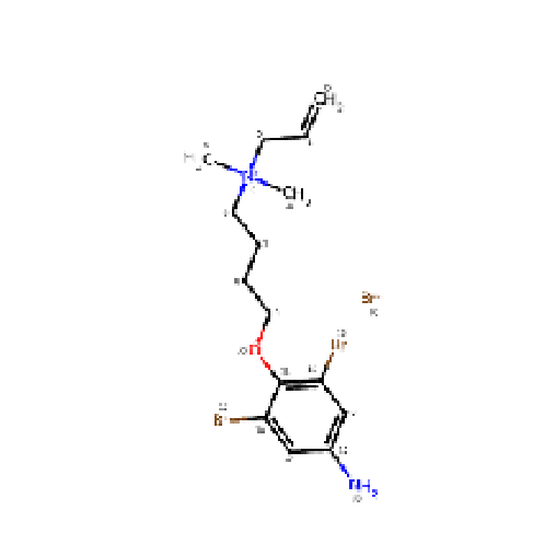 C=CC[N+](C)(C)CCCCOc1c(Br)cc(N)cc1Br.[Br-]